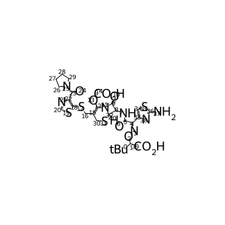 CC(C)(C)C(O/N=C(\C(=O)NC1C(=O)N2C(OC(=O)O)=C(CSc3scnc3C(=O)N3CCCC3)CS[C@@H]12)c1csc(N)n1)C(=O)O